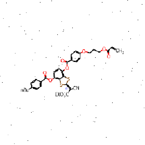 C=CC(=O)OCCCOc1ccc(C(=O)Oc2ccc(OC(=O)c3ccc(CCCC)cc3)c3c2S/C(=C(\C#N)C(=O)OCC)S3)cc1